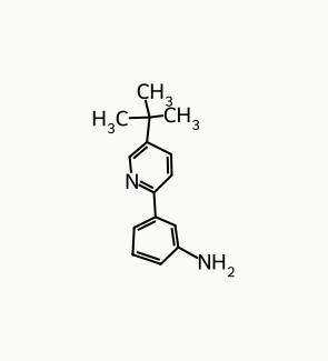 CC(C)(C)c1ccc(-c2cccc(N)c2)nc1